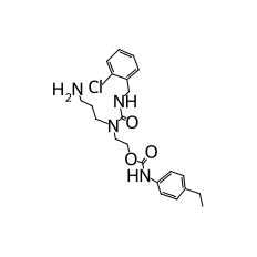 CCc1ccc(NC(=O)OCCN(CCCN)C(=O)NCc2ccccc2Cl)cc1